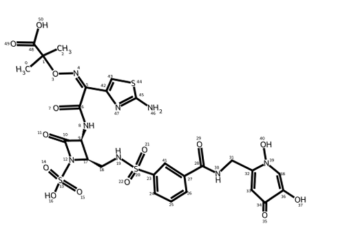 CC(C)(O/N=C(\C(=O)N[C@@H]1C(=O)N(S(=O)(=O)O)[C@@H]1CNS(=O)(=O)c1cccc(C(=O)NCc2cc(=O)c(O)cn2O)c1)c1csc(N)n1)C(=O)O